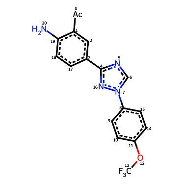 CC(=O)c1cc(-c2ncn(-c3ccc(OC(F)(F)F)cc3)n2)ccc1N